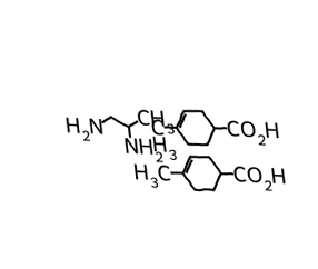 CC(N)CN.CC1=CCC(C(=O)O)CC1.CC1=CCC(C(=O)O)CC1